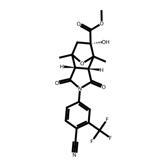 COC(=O)[C@]1(O)CC2(C)OC1(C)[C@@H]1C(=O)N(c3ccc(C#N)c(C(F)(F)F)c3)C(=O)[C@@H]12